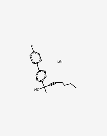 CCCCC#CC(C)(O)c1ccc(-c2ccc(F)cc2)cc1.[LiH]